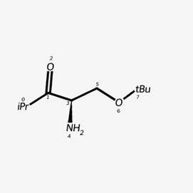 CC(C)C(=O)[C@H](N)COC(C)(C)C